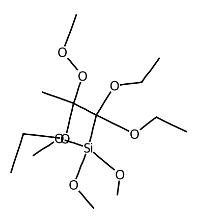 CCOC(C)(OOC)C(OCC)(OCC)[Si](OC)(OC)OC